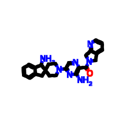 Nc1nc(N2CCC3(CC2)Cc2ccccc2C3N)cnc1C(=O)N1Cc2cccnc2C1